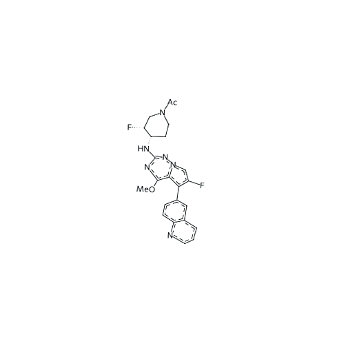 COc1nc(N[C@H]2CCN(C(C)=O)C[C@H]2F)nn2cc(F)c(-c3ccc4ncccc4c3)c12